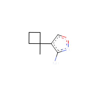 CC1(c2conc2N)CCC1